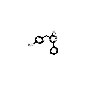 COc1ccc(Cc2cc(-c3ccccc3)nnc2N)cc1